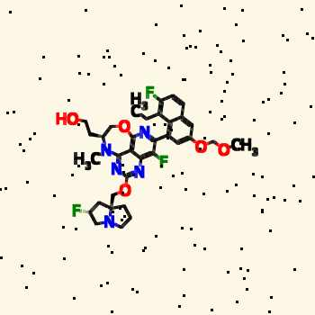 CCc1c(F)ccc2cc(OCOC)cc(-c3nc4c5c(nc(OC[C@@]67CCCN6C[C@H](F)C7)nc5c3F)N(C)[C@@H](CCO)CO4)c12